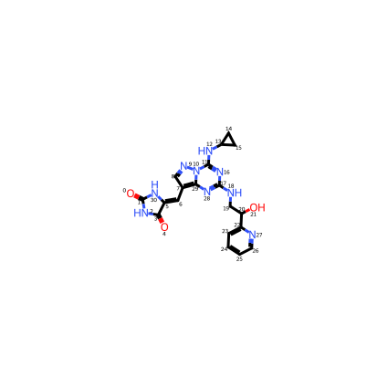 O=C1NC(=O)/C(=C/c2cnn3c(NC4CC4)nc(NCC(O)c4ccccn4)nc23)N1